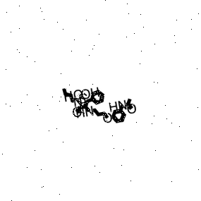 CCCCN1C(=O)C(NCCCOc2cccc(NC(C)=O)c2)=C(c2ccccc2)S1(O)O